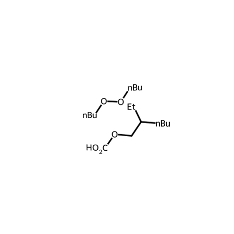 CCCCC(CC)COC(=O)O.CCCCOOCCCC